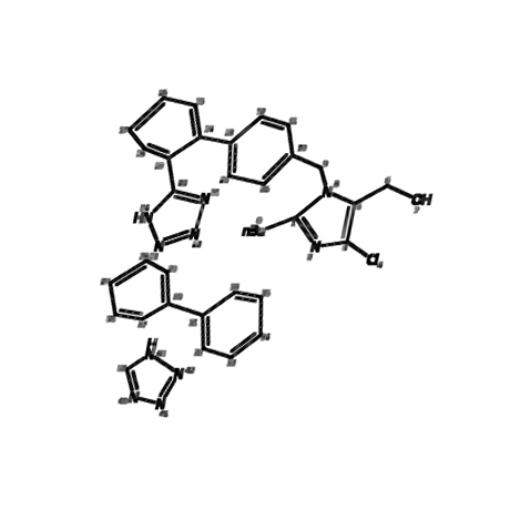 CCCCc1nc(Cl)c(CO)n1Cc1ccc(-c2ccccc2-c2nnn[nH]2)cc1.c1ccc(-c2ccccc2)cc1.c1nnn[nH]1